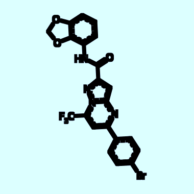 O=C(Nc1cccc2c1OCO2)c1cc2nc(-c3ccc(Br)cc3)cc(C(F)(F)F)n2n1